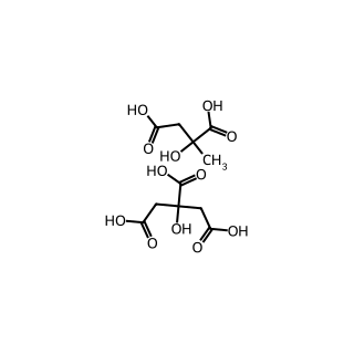 CC(O)(CC(=O)O)C(=O)O.O=C(O)CC(O)(CC(=O)O)C(=O)O